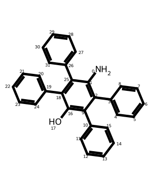 Nc1c(-c2ccccc2)c(-c2ccccc2)c(O)c(-c2ccccc2)c1-c1ccccc1